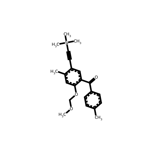 COCOc1cc(C)c(C#C[Si](C)(C)C)cc1C(=O)c1ccc(C)cc1